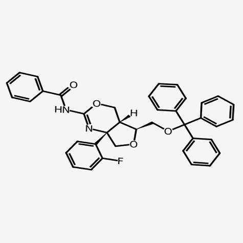 O=C(NC1=N[C@@]2(c3ccccc3F)CO[C@H](COC(c3ccccc3)(c3ccccc3)c3ccccc3)[C@H]2CO1)c1ccccc1